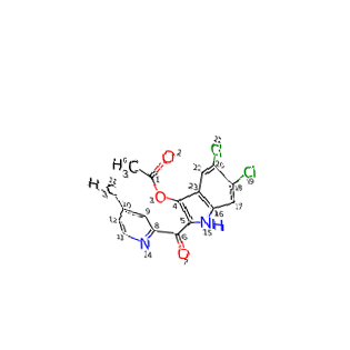 CC(=O)Oc1c(C(=O)c2cc(C)ccn2)[nH]c2cc(Cl)c(Cl)cc12